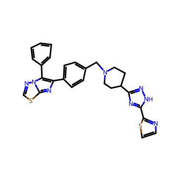 c1ccc(-c2c(-c3ccc(CN4CCC(c5n[nH]c(-c6nccs6)n5)CC4)cc3)nc3scnn23)cc1